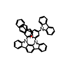 c1ccc(-c2cccc(-n3c4ccccc4c4ccc5c6ccccc6n(-c6cc(-n7c8ccccc8c8ccccc87)cc(-c7ccccc7)n6)c5c43)c2)cc1